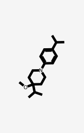 COC1(C(C)C)CCN(c2ccc(C(C)C)cc2)CC1